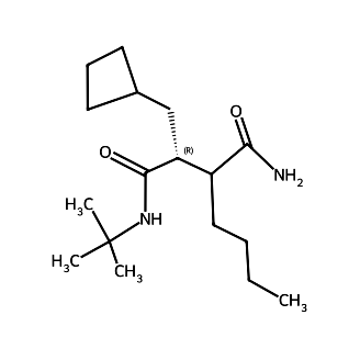 CCCCC(C(N)=O)[C@@H](CC1CCC1)C(=O)NC(C)(C)C